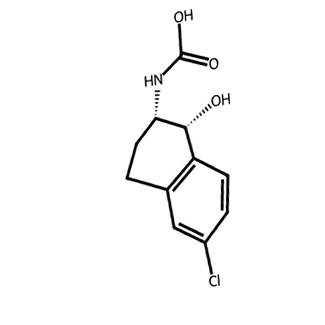 O=C(O)N[C@H]1CCc2cc(Cl)ccc2[C@H]1O